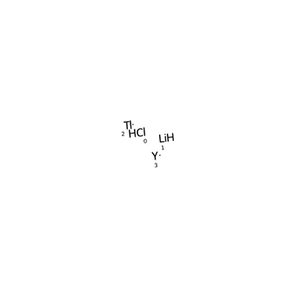 Cl.[LiH].[Tl].[Y]